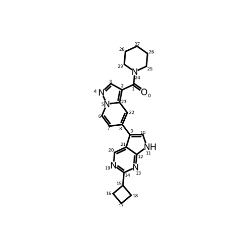 O=C(c1cnn2ccc(-c3c[nH]c4nc(C5CCC5)ncc34)cc12)N1CCCCC1